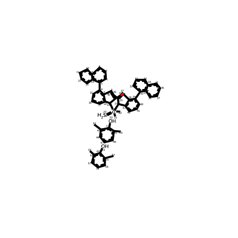 CCC1=Cc2c(-c3cccc4ccccc34)cccc2[CH]1[Zr]([CH3])([CH3])(=[SiH2])[CH]1C(CC)=Cc2c(-c3cccc4ccccc34)cccc21.Cc1cccc(C)c1O.Cc1cccc(C)c1O